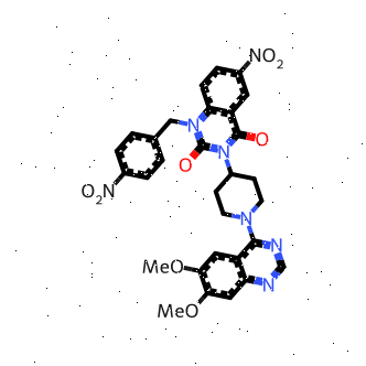 COc1cc2ncnc(N3CCC(n4c(=O)c5cc([N+](=O)[O-])ccc5n(Cc5ccc([N+](=O)[O-])cc5)c4=O)CC3)c2cc1OC